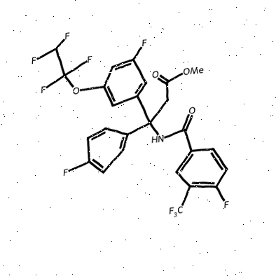 COC(=O)CC(NC(=O)c1ccc(F)c(C(F)(F)F)c1)(c1ccc(F)cc1)c1cc(F)cc(OC(F)(F)C(F)F)c1